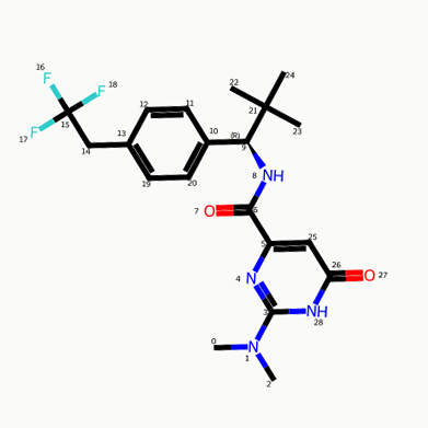 CN(C)c1nc(C(=O)N[C@@H](c2ccc(CC(F)(F)F)cc2)C(C)(C)C)cc(=O)[nH]1